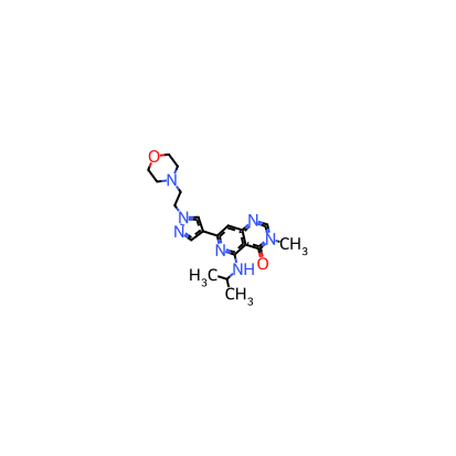 CC(C)Nc1nc(-c2cnn(CCN3CCOCC3)c2)cc2ncn(C)c(=O)c12